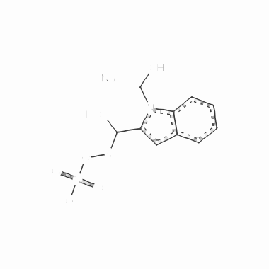 CCn1c(C(C)SOS(=O)(=O)[O-])cc2ccccc21.[Na+]